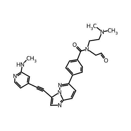 CNc1cc(C#Cc2cnc3ccc(-c4ccc(C(=O)N(CC=O)CCN(C)C)cc4)nn23)ccn1